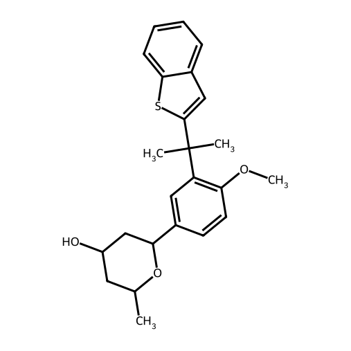 COc1ccc(C2CC(O)CC(C)O2)cc1C(C)(C)c1cc2ccccc2s1